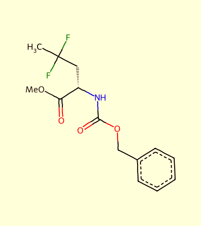 COC(=O)[C@H](CC(C)(F)F)NC(=O)OCc1ccccc1